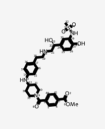 COC(=O)c1ccc(C(=O)N2CCC(Nc3ccc(CCNC[C@H](O)c4ccc(O)c(NS(C)(=O)=O)c4)cc3)CC2)cc1